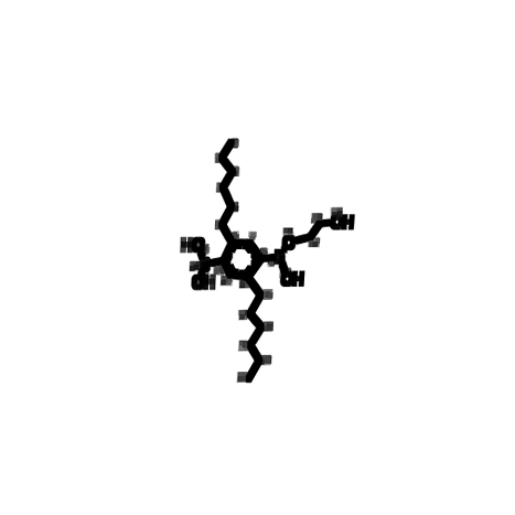 CCCCCCc1cc(B(O)OCCO)c(CCCCCC)cc1B(O)O